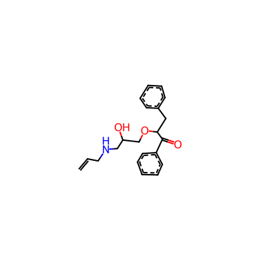 C=CCNCC(O)COC(Cc1ccccc1)C(=O)c1ccccc1